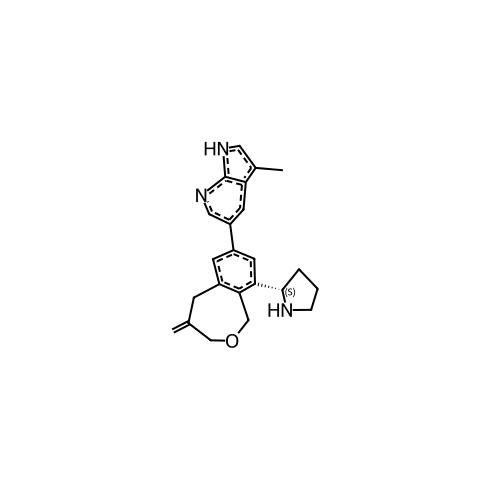 C=C1COCc2c(cc(-c3cnc4[nH]cc(C)c4c3)cc2[C@@H]2CCCN2)C1